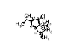 CC(C)c1cc(Cl)c2c(c1)CN(C)CC2(C)C